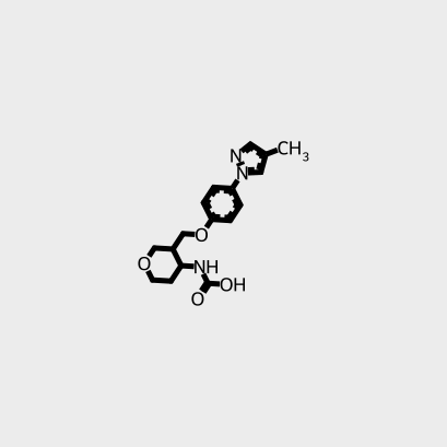 Cc1cnn(-c2ccc(OCC3COCCC3NC(=O)O)cc2)c1